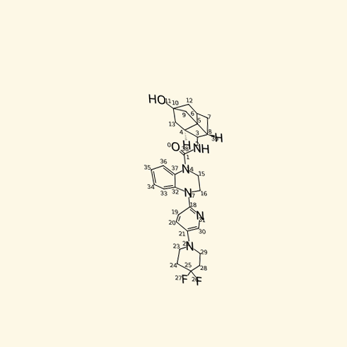 O=C(NC1[C@@H]2CC3C[C@H]1CC(O)(C3)C2)N1CCN(c2ccc(N3CCC(F)(F)CC3)cn2)c2ccccc21